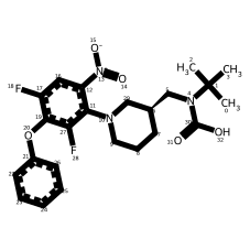 CC(C)(C)N(C[C@H]1CCCN(c2c([N+](=O)[O-])cc(F)c(Oc3ccccc3)c2F)C1)C(=O)O